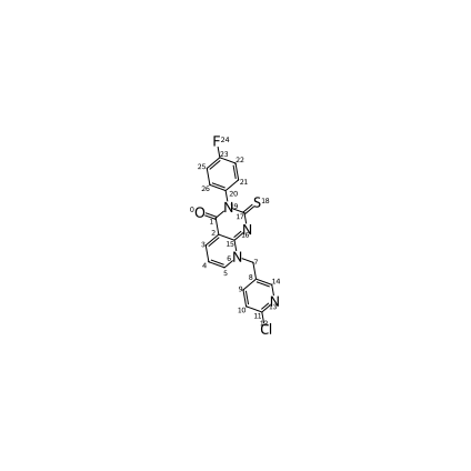 O=c1c2cccn(Cc3ccc(Cl)nc3)c-2nc(=S)n1-c1ccc(F)cc1